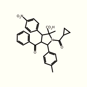 Cc1ccc(C2C(C(=O)c3ccccc3)C(c3ccc([N+](=O)[O-])cc3)C(C)(C(=O)O)N2C(=O)C2CC2)cc1